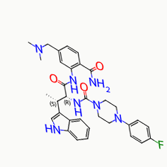 C[C@@H](c1c[nH]c2ccccc12)[C@@H](NC(=O)N1CCN(c2ccc(F)cc2)CC1)C(=O)Nc1cc(CN(C)C)ccc1C(N)=O